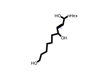 CCCCCCC(O)/C=C/C(O)CCCCCCO